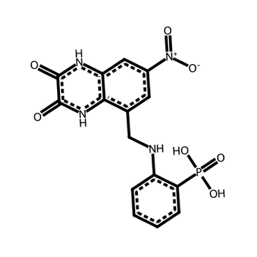 O=c1[nH]c2cc([N+](=O)[O-])cc(CNc3ccccc3P(=O)(O)O)c2[nH]c1=O